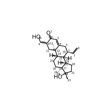 C=C[C@@H]1CC2=CC(=O)C(=CO)C[C@]2(C)[C@H]2CC[C@@]3(C)[C@@H](CC[C@]3(C)O)[C@H]12